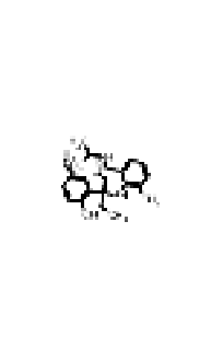 CCC(CC)(Pc1c(C)cccc1CNC(C)C)c1cc(C)ccc1O